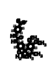 CCC(C(N)=O)(c1ccc(NC(=O)Nc2ccc([N+](=O)[O-])cc2)cc1)c1cc(OC)c(OC)cc1C(C)=O